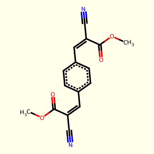 COC(=O)C(C#N)=Cc1ccc(C=C(C#N)C(=O)OC)cc1